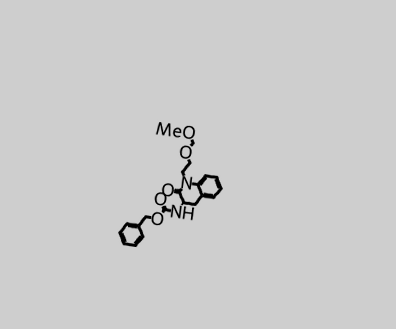 COCOCCN1C(=O)[C@@H](NC(=O)OCc2ccccc2)Cc2ccccc21